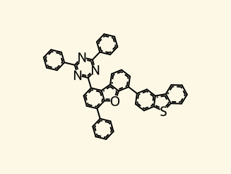 c1ccc(-c2nc(-c3ccccc3)nc(-c3ccc(-c4ccccc4)c4oc5c(-c6ccc7sc8ccccc8c7c6)cccc5c34)n2)cc1